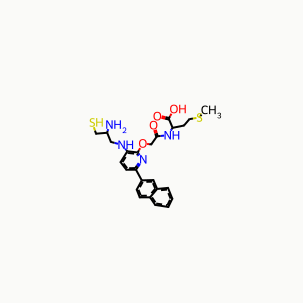 CSCCC(NC(=O)COc1nc(-c2ccc3ccccc3c2)ccc1NCC(N)CS)C(=O)O